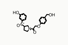 O=C(COc1ccc(CO)cc1)N1CCC([S+]([O-])c2cccc(O)c2)C1